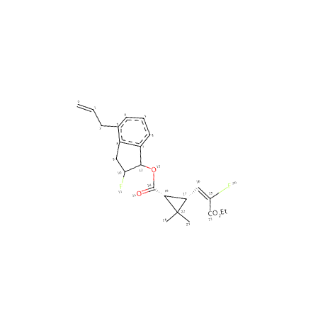 C=CCc1cccc2c1CC(F)C2OC(=O)[C@@H]1[C@H](/C=C(/F)C(=O)OCC)C1(C)C